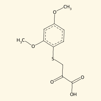 COc1ccc(SCC(=O)C(=O)O)c(OC)c1